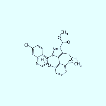 CCc1c(C(=O)OC)nn(-c2ccnc3cc(Cl)ccc23)c1-c1c(OC)cccc1OC